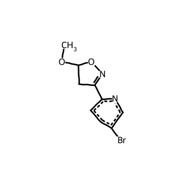 COC1CC(c2ccc(Br)cn2)=NO1